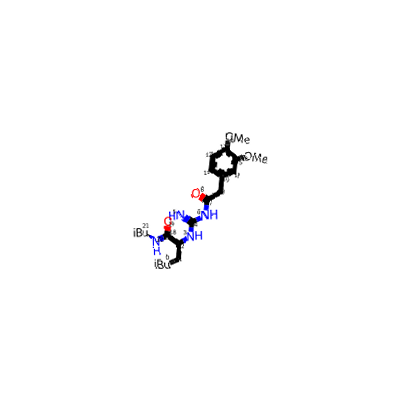 CCC(C)CC(NC(=N)NC(=O)Cc1ccc(OC)c(OC)c1)C(=O)N[C@H](C)CC